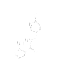 Nc1sccc1C(=O)NCc1ccc(Cl)nc1